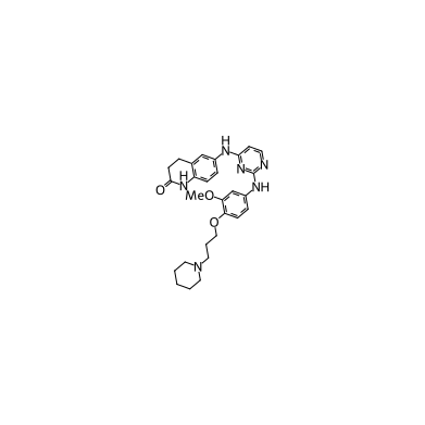 COc1cc(Nc2nccc(Nc3ccc4c(c3)CCC(=O)N4)n2)ccc1OCCCN1CCCCC1